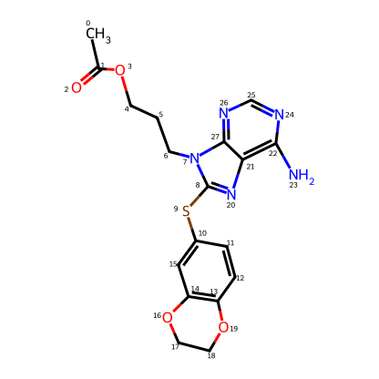 CC(=O)OCCCn1c(Sc2ccc3c(c2)OCCO3)nc2c(N)ncnc21